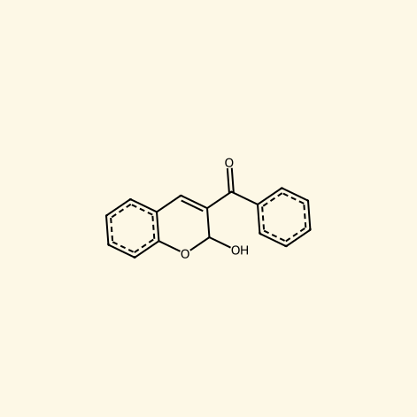 O=C(C1=Cc2ccccc2OC1O)c1ccccc1